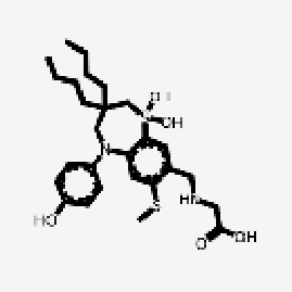 CCCCC1(CCCC)CN(c2ccc(O)cc2)c2cc(SC)c(CNCC(=O)O)cc2S(O)(O)C1